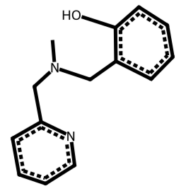 CN(Cc1ccccn1)Cc1ccccc1O